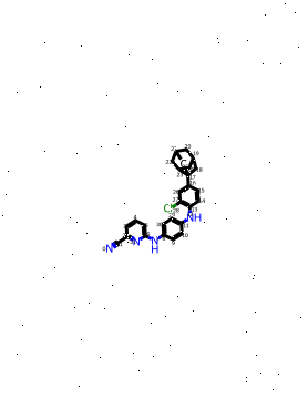 N#Cc1cccc(Nc2ccc(Nc3ccc(C45CC6CC(CC4C6)C5)cc3Cl)cc2)n1